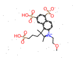 COCC[N+]1=C(C)C(C)(CCCS(=O)(=O)O)c2c1ccc1c(S(=O)(=O)[O-])cc(S(=O)(=O)O)cc21